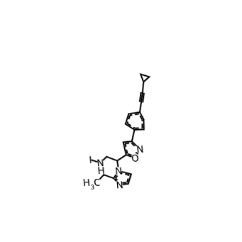 CCc1nccn1C(CNI)c1cc(-c2ccc(C#CC3CC3)cc2)no1